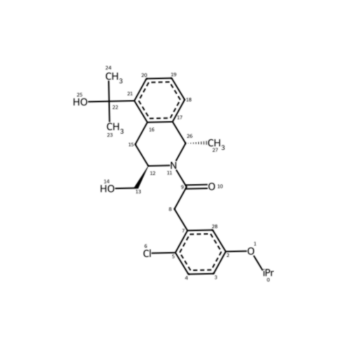 CC(C)Oc1ccc(Cl)c(CC(=O)N2[C@@H](CO)Cc3c(cccc3C(C)(C)O)[C@@H]2C)c1